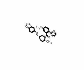 COc1ccc(OC[C@H]2CC[C@@H](C)N(C(=O)c3cc(C)ccc3-n3nccn3)C2)cc1